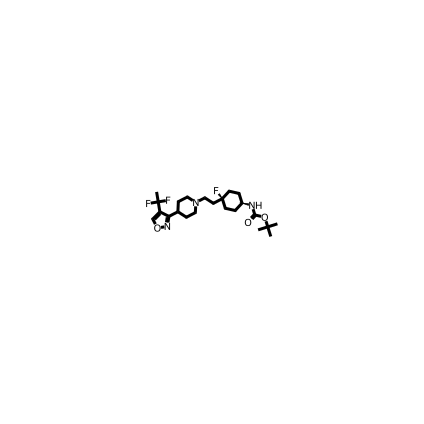 CC(C)(C)OC(=O)N[C@H]1CC[C@](F)(CCN2CCC(c3nocc3C(C)(F)F)CC2)CC1